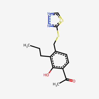 CCCc1c(CSc2nn[c]s2)ccc(C(C)=O)c1O